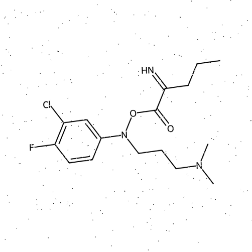 CCCC(=N)C(=O)ON(CCCN(C)C)c1ccc(F)c(Cl)c1